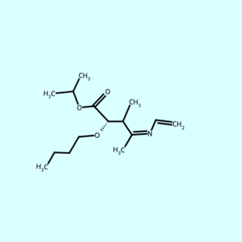 C=C/N=C(/C)C(C)[C@H](OCCCC)C(=O)OC(C)C